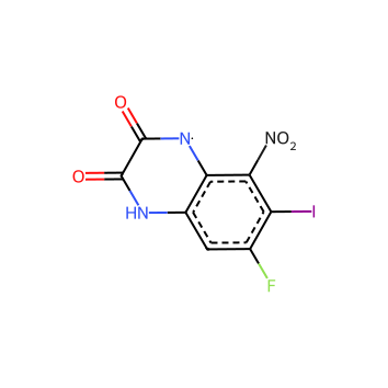 O=C1[N]c2c(cc(F)c(I)c2[N+](=O)[O-])NC1=O